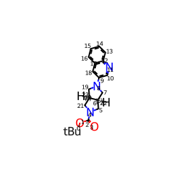 CC(C)(C)OC(=O)N1C[C@@H]2CN(c3cnc4ccccc4c3)C[C@@H]2C1